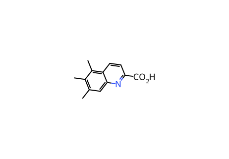 Cc1cc2nc(C(=O)O)ccc2c(C)c1C